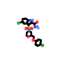 NC(=O)c1[nH]c2ccc(Cl)cc2c1S(=O)(=O)N1CCOC(COc2ccc(Cl)cc2)C1